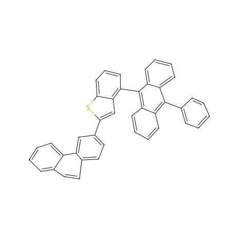 c1ccc(-c2c3ccccc3c(-c3cccc4sc(-c5ccc6ccc7ccccc7c6c5)cc34)c3ccccc23)cc1